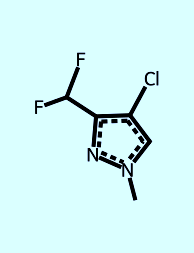 Cn1cc(Cl)c(C(F)F)n1